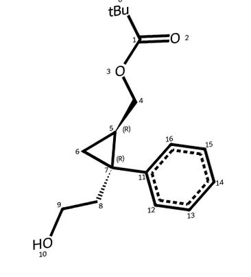 CC(C)(C)C(=O)OC[C@@H]1C[C@]1(CCO)c1ccccc1